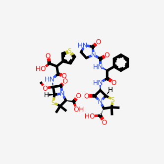 CC1(C)S[C@@H]2[C@H](NC(=O)[C@@H](NC(=O)N3CCNC3=O)c3ccccc3)C(=O)N2[C@H]1C(=O)O.CO[C@@]1(NC(=O)C(C(=O)O)c2ccsc2)C(=O)N2[C@@H](C(=O)O)C(C)(C)S[C@@H]21